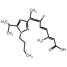 CCCCn1nc(\C(C)=C(F)/C=C/C(C)=C/C(=O)O)cc1C(C)C